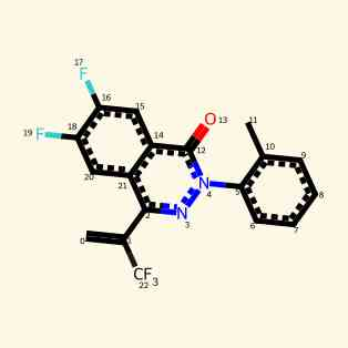 C=C(c1nn(-c2ccccc2C)c(=O)c2cc(F)c(F)cc12)C(F)(F)F